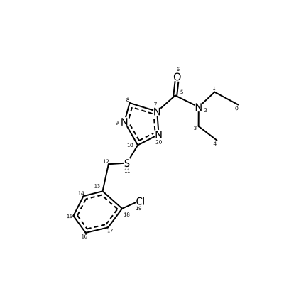 CCN(CC)C(=O)n1cnc(SCc2ccccc2Cl)n1